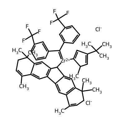 CC1=CCC(C)(C)c2cc3c(cc21)-c1cc2c(cc1[CH]3[Zr+2]([C]1=CC(C(C)(C)C)=CC1C)=[C](c1cccc(C(F)(F)F)c1)c1cccc(C(F)(F)F)c1)C(C)(C)CC=C2C.[Cl-].[Cl-]